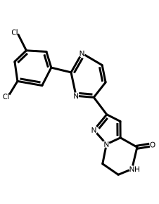 O=C1NCCn2nc(-c3ccnc(-c4cc(Cl)cc(Cl)c4)n3)cc21